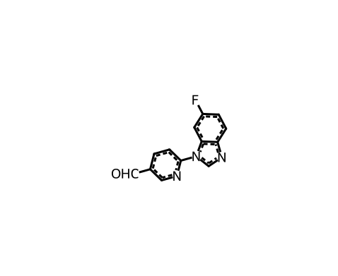 O=Cc1ccc(-n2cnc3ccc(F)cc32)nc1